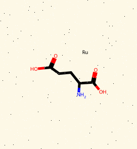 NC(CCC(=O)O)C(=O)O.[Ru]